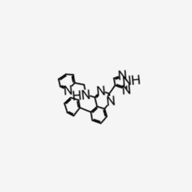 c1ccc(-c2cccc3nc(-c4cn[nH]n4)nc(NCc4ccccn4)c23)cc1